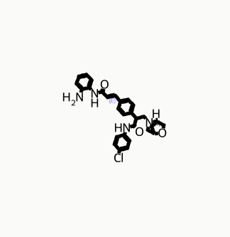 Nc1ccccc1NC(=O)/C=C/c1ccc(C(CN2CC3C[C@H]2CO3)C(=O)Nc2ccc(Cl)cc2)cc1